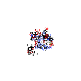 COc1ccc(C[C@H](NC(=O)[C@H](C)NC(=O)[C@H](CC(C)C)NC(=O)c2oc3c(OC)c(OC)ccc3c2C)C(=O)N2CCC[C@H]2C(=O)N[C@@H](CC(=O)O)C(=O)N[C@@H](C)C(=O)NC(C(=O)N2C[C@H](O)C[C@H]2C(=O)N[C@@H](Cc2ccc(OS(=O)(=O)F)cc2)C(=O)N[C@@H](CCCNC(=N)N)C(=O)N2CCC[C@H]2C(N)=O)C(C)C)cc1